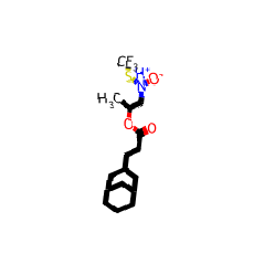 CC(C[NH+]([O-])SC(F)(F)F)OC(=O)CCC1CC2CCCC(C2)C1